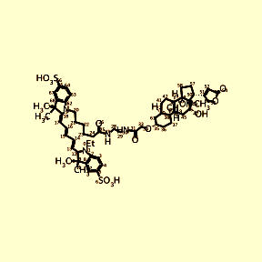 CCN1c2ccc(S(=O)(=O)O)cc2C(C)(C)C1/C=C/C=C/C=C1\N(CCCCCC(=O)NCCNC(=O)CO[C@H]2CC[C@@]3(C)[C@H](CC[C@@H]4[C@@H]3C[C@@H](O)[C@]3(C)[C@@H](C5=CC(=O)OC5)CC[C@]43O)C2)c2ccc(S(=O)(=O)O)cc2C1(C)C